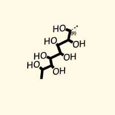 CC(O)C(O)C(O)C(O)C(O)C(O)[C@@H](C)O